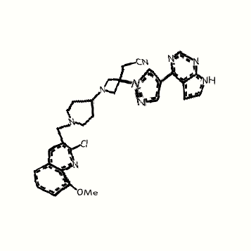 COc1cccc2cc(CN3CCC(N4CC(CC#N)(n5cc(-c6ncnc7[nH]ccc67)cn5)C4)CC3)c(Cl)nc12